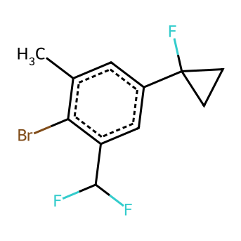 Cc1cc(C2(F)CC2)cc(C(F)F)c1Br